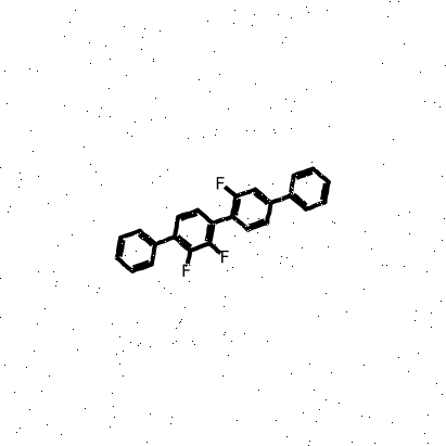 Fc1cc(-c2ccccc2)ccc1-c1ccc(-c2ccccc2)c(F)c1F